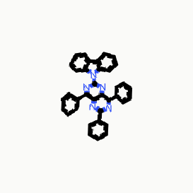 c1ccc(-c2nc(-c3ccccc3)c3nc(-n4c5ccccc5c5ccccc54)nc(-c4ccccc4)c3n2)cc1